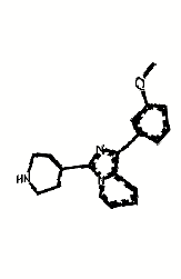 COc1cccc(-c2nc(C3CCNCC3)n3ccccc23)c1